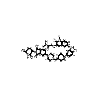 CNC(=O)COc1cc2cc(Nc3nc(N4CCC(CN5CCN(c6ccc7c(c6)C(=O)N(C6CCC(=O)NC6=O)C7=O)CC5)CC4)ccc3Cl)ccc2n(C)c1=O